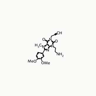 C#CCn1c(=O)c2c(nc(-c3ccc(OC)c(OC)c3)n2C)n(CCN)c1=O